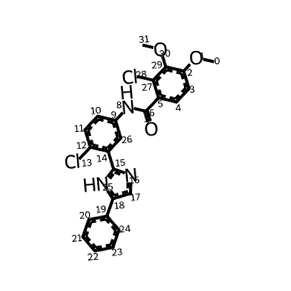 COc1ccc(C(=O)Nc2ccc(Cl)c(-c3ncc(-c4ccccc4)[nH]3)c2)c(Cl)c1OC